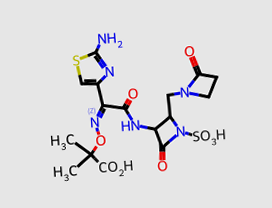 CC(C)(O/N=C(\C(=O)NC1C(=O)N(S(=O)(=O)O)C1CN1CCC1=O)c1csc(N)n1)C(=O)O